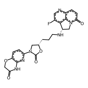 O=C1COc2ccc(N3C[C@H](CCCN[C@H]4Cn5c(=O)ccc6ncc(F)c4c65)OC3=O)nc2N1